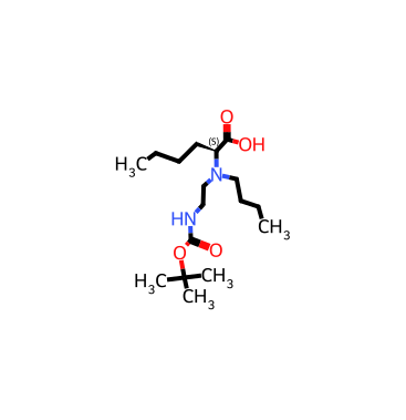 CCCC[C@@H](C(=O)O)N(CCCC)CCNC(=O)OC(C)(C)C